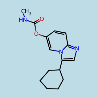 CNC(=O)Oc1ccc2ncc(C3CCCCC3)n2c1